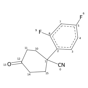 N#CC1(c2ccc(F)cc2F)CCC(=O)CC1